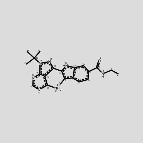 CCNC(=O)c1ccc2c(Cl)c(-c3nn(C(C)(C)C)c4ncnc(N)c34)[nH]c2c1